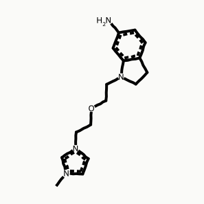 C[n+]1ccn(CCOCCN2CCc3ccc(N)cc32)c1